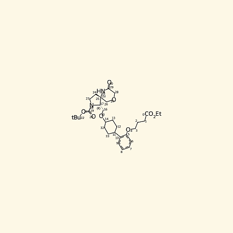 CCOC(=O)CCCOc1ccccc1C1CCC(OC[C@@H]2N(C(=O)OC(C)(C)C)CC[C@@]23COCC(=O)N3)CC1